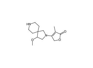 COC1CN(C2=C(C)C(=O)OC2)CC12CCNCC2